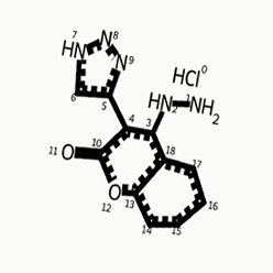 Cl.NNc1c(-c2c[nH]nn2)c(=O)oc2ccccc12